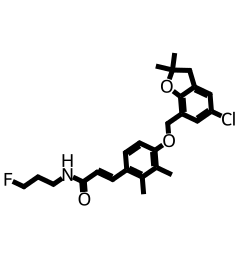 Cc1c(C=CC(=O)NCCCF)ccc(OCc2cc(Cl)cc3c2OC(C)(C)C3)c1C